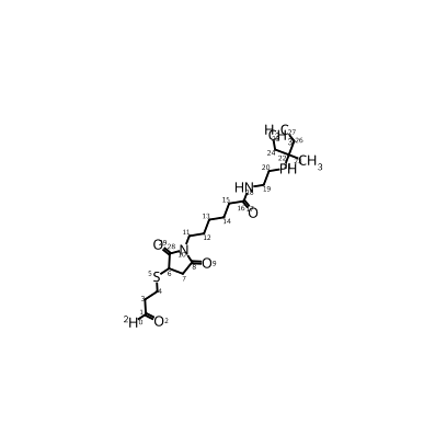 [2H]C(=O)CCSC1CC(=O)N(CCCCCC(=O)NCCPC(C)(CC)CC)C1=O